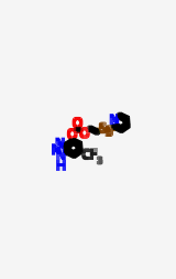 O=C(OCCSSc1ccccn1)Oc1cc(C(F)(F)F)cc2[nH]nnc12